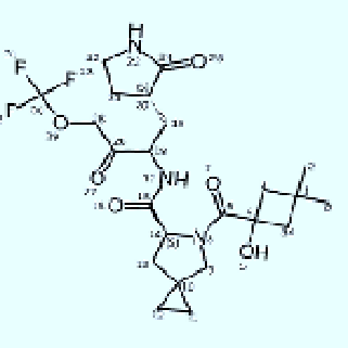 CC1(C)CC(O)(C(=O)N2CC3(CC3)C[C@H]2C(=O)NC(C[C@@H]2CCNC2=O)C(=O)COC(F)(F)F)C1